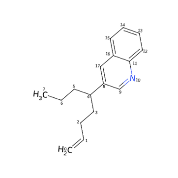 C=CCCC(CCC)c1cnc2ccccc2c1